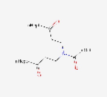 CCCCCCCCC(=O)N(CCC(=O)CCCCCCC)CCC(=O)CCCCCCC